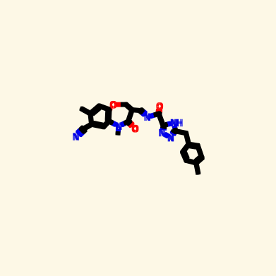 Cc1ccc(Cc2nnc(C(=O)/N=C/C3COc4cc(C)c(C#N)cc4N(C)C3=O)[nH]2)cc1